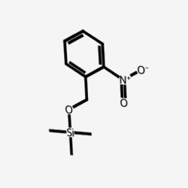 C[Si](C)(C)OCc1ccccc1[N+](=O)[O-]